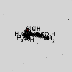 Cc1sc2c(c1C)C(c1ccc(Cl)cc1)=N[C@@H](CC(=O)NCCCN1CCN(c3ccc(C#CCN)c(C(=O)O)c3)CC1)c1nnc(C)n1-2.Cl